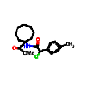 COC(=O)C1(NC(=O)C(Cl)c2ccc(C)cc2)CCCCCCC1